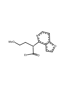 CCC(=O)N(CCOC)c1nccc2occc12